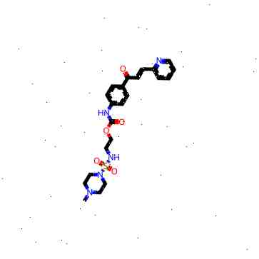 CN1CCN(S(=O)(=O)NCCOC(=O)Nc2ccc(C(=O)C=Cc3ccccn3)cc2)CC1